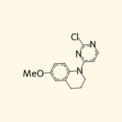 COc1ccc2c(c1)CCCN2c1ccnc(Cl)n1